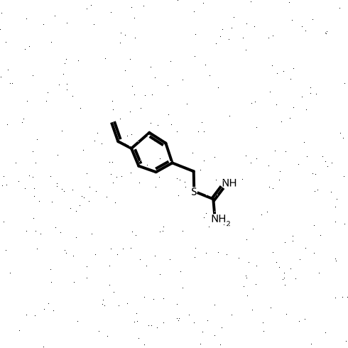 C=Cc1ccc(CSC(=N)N)cc1